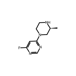 C[C@H]1CN(c2cc(F)ncn2)CCN1